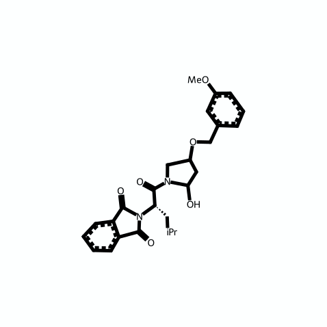 COc1cccc(COC2CC(O)N(C(=O)[C@H](CC(C)C)N3C(=O)c4ccccc4C3=O)C2)c1